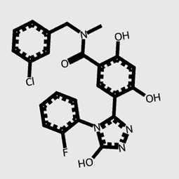 CN(Cc1cccc(Cl)c1)C(=O)c1cc(-c2nnc(O)n2-c2ccccc2F)c(O)cc1O